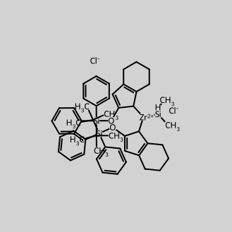 C[SiH](C)[Zr+2]([CH]1C(O[Si](c2ccccc2)(c2ccccc2)C(C)(C)C)=CC2=C1CCCC2)[CH]1C(O[Si](c2ccccc2)(c2ccccc2)C(C)(C)C)=CC2=C1CCCC2.[Cl-].[Cl-]